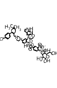 CC1(C)CCC(CN2CCN(c3ccc(C(=O)NS(=O)(=O)c4ccc(NCC5C(O)C(O)OC(CO)C5O)c([N+](=O)[O-])c4)c(N4CCOc5nc6[nH]ccc6cc54)c3)CC2)=C(c2ccc(Cl)cc2)C1